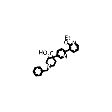 CCOc1ncccc1-c1ccc(C2(C(=O)O)CCN(Cc3ccccc3)CC2)cn1